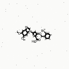 COc1cc2ncn(-c3cc(OCc4ccccc4Br)c(C(=O)O)s3)c2cc1OC